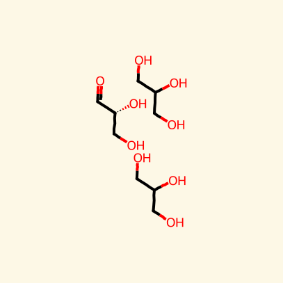 O=C[C@H](O)CO.OCC(O)CO.OCC(O)CO